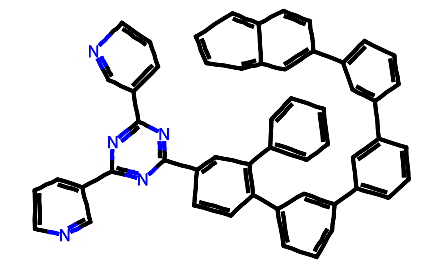 c1ccc(-c2cc(-c3nc(-c4cccnc4)nc(-c4cccnc4)n3)ccc2-c2cccc(-c3cccc(-c4cccc(-c5ccc6ccccc6c5)c4)c3)c2)cc1